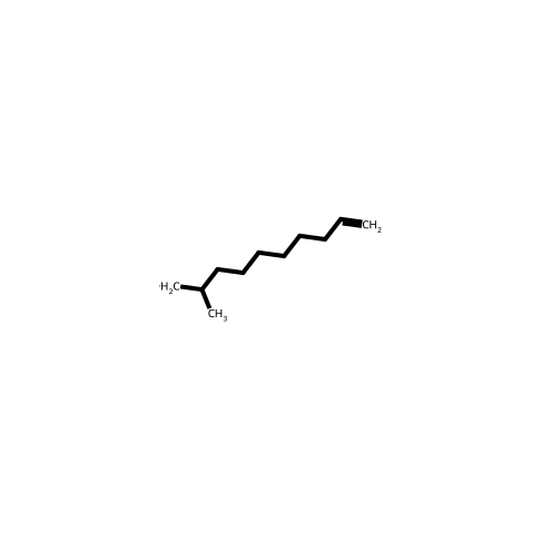 [CH2]C(C)CCCCCCC=C